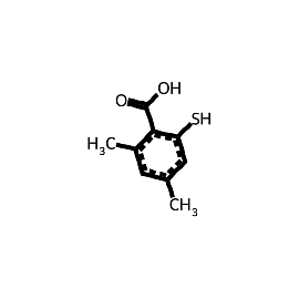 Cc1cc(C)c(C(=O)O)c(S)c1